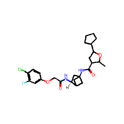 CC1OC(C2CCCC2)CC1C(=O)NC12CC(C1)[C@@H](NC(=O)COc1ccc(Cl)c(F)c1)C2